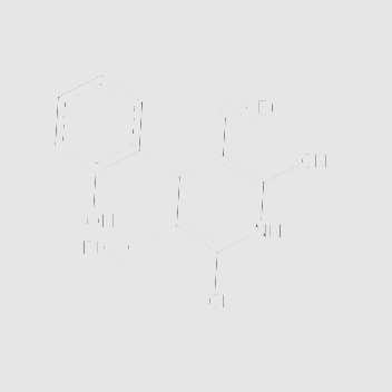 CCOC(=O)C1=C(C)NC(C)=C(C(=O)OCC)C1c1ccccc1O